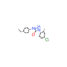 CCc1ccc(NC(=O)Nc2ccc(Cl)cc2C)cc1